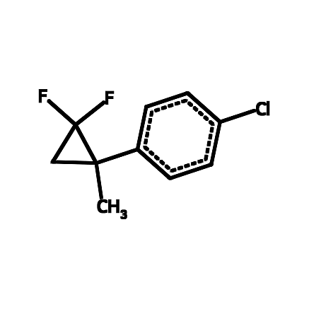 CC1(c2ccc(Cl)cc2)CC1(F)F